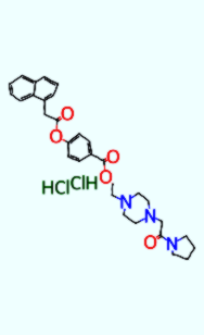 Cl.Cl.O=C(Cc1cccc2ccccc12)Oc1ccc(C(=O)OCCN2CCN(CC(=O)N3CCCC3)CC2)cc1